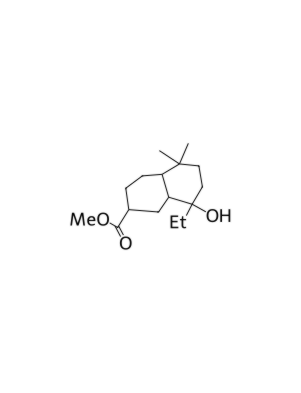 CCC1(O)CCC(C)(C)C2CCC(C(=O)OC)CC21